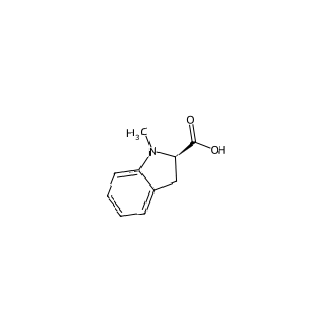 CN1c2ccccc2C[C@@H]1C(=O)O